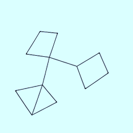 C1CC(C2(C34CC3C4)CCC2)C1